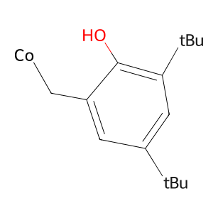 CC(C)(C)c1cc([CH2][Co])c(O)c(C(C)(C)C)c1